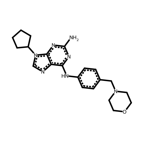 Nc1nc(Nc2ccc(CN3CCOCC3)cc2)c2ncn(C3CCCC3)c2n1